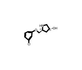 O[C@H]1CN[C@H](COc2cccc(Cl)c2)C1